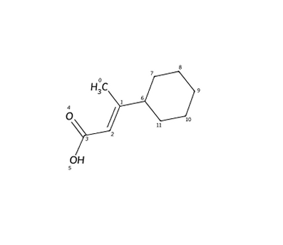 CC(=CC(=O)O)C1CCCCC1